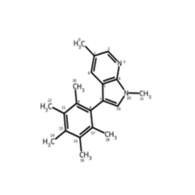 Cc1cnc2c(c1)c(-c1c(C)c(C)c(C)c(C)c1C)cn2C